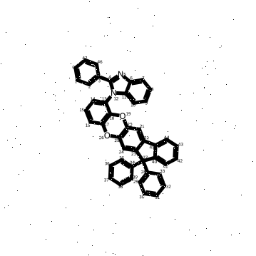 c1ccc(-c2nc3ccccc3n2-c2cccc3c2Oc2cc4c(cc2O3)C(c2ccccc2)(c2ccccc2)c2ccccc2-4)cc1